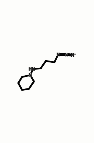 [N-]=[N+]=NCCCNN1CCCCC1